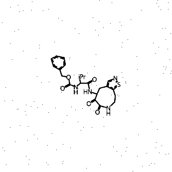 CC(C)C(NC(=O)OCc1ccccc1)C(=O)NC1Cc2cnsc2CCNC(=O)C1=O